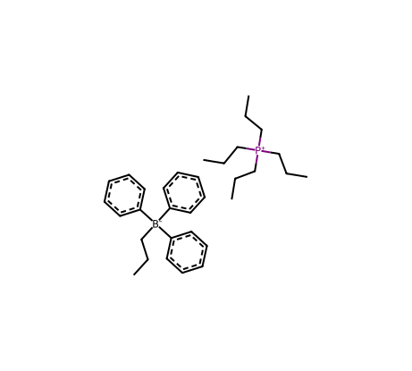 CCC[B-](c1ccccc1)(c1ccccc1)c1ccccc1.CCC[P+](CCC)(CCC)CCC